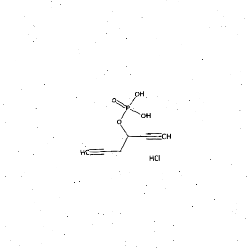 C#CCC(C#C)OP(=O)(O)O.Cl